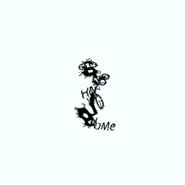 COc1ccc2cccc(C=CC(=O)NC[C@@H]3CN(c4ccc5c(c4)OCCO5)C(=O)O3)c2n1